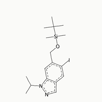 CC(C)n1ncc2cc(I)c(CO[Si](C)(C)C(C)(C)C)cc21